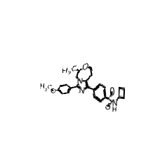 COc1ccc(-c2nc(-c3ccc(S(=O)(=O)NC4CCC4)cc3)c3n2CC(C)OCC3)cc1